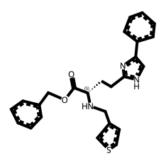 O=C(OCc1ccccc1)[C@H](CCc1nc(-c2ccccc2)c[nH]1)NCc1ccsc1